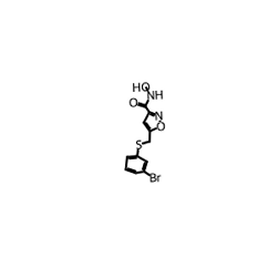 O=C(NO)c1cc(CSc2cccc(Br)c2)on1